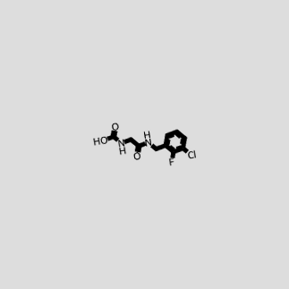 O=C(O)NCC(=O)NCc1cccc(Cl)c1F